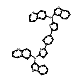 c1cnc2ccc(N(c3ccc(-c4ccc(-c5ccc(N(c6ccc7ncccc7c6)c6csc7ccccc67)s5)cc4)s3)c3csc4ccccc34)cc2c1